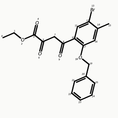 CCOC(=O)C(=O)CC(=O)c1cc(Br)c(C)cc1OCc1ccccc1